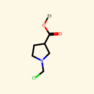 CCOC(=O)C1CCN(CCl)C1